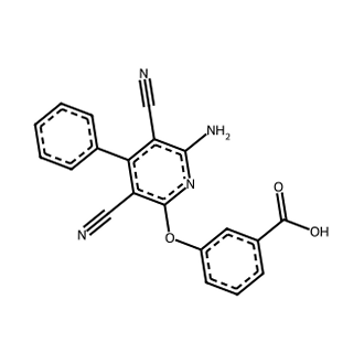 N#Cc1c(N)nc(Oc2cccc(C(=O)O)c2)c(C#N)c1-c1ccccc1